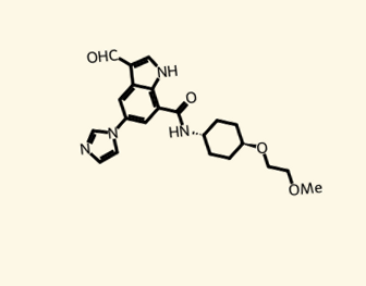 COCCO[C@H]1CC[C@H](NC(=O)c2cc(-n3ccnc3)cc3c(C=O)c[nH]c23)CC1